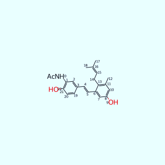 CC(=O)Nc1cc(/C=C/c2cc(O)cc(C)c2CC=C(C)C)ccc1O